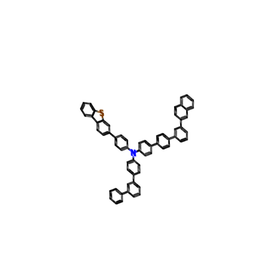 c1ccc(-c2cccc(-c3ccc(N(c4ccc(-c5ccc(-c6cccc(-c7ccc8ccccc8c7)c6)cc5)cc4)c4ccc(-c5ccc6c(c5)sc5ccccc56)cc4)cc3)c2)cc1